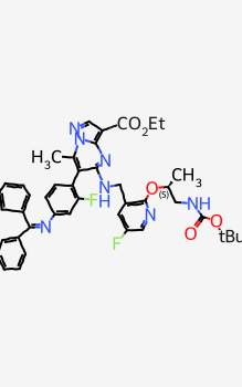 CCOC(=O)c1cnn2c(C)c(-c3ccc(N=C(c4ccccc4)c4ccccc4)cc3F)c(NCc3cc(F)cnc3O[C@@H](C)CNC(=O)OC(C)(C)C)nc12